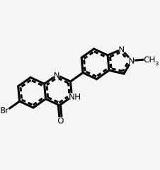 Cn1cc2cc(-c3nc4ccc(Br)cc4c(=O)[nH]3)ccc2n1